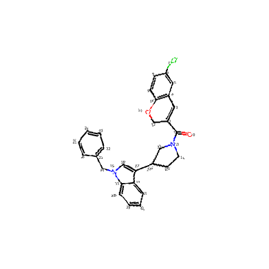 O=C(C1=Cc2cc(Cl)ccc2OC1)N1CCC(c2cn(Cc3ccccc3)c3ccccc23)C1